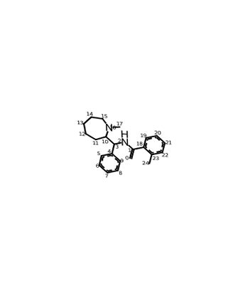 C=C(NC(c1ccccc1)C1CCCCCN1C)c1ccccc1C